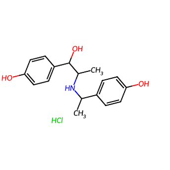 CC(NC(C)C(O)c1ccc(O)cc1)c1ccc(O)cc1.Cl